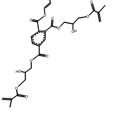 C=C(C)C(=O)OCC(O)COC(=O)c1ccc(C(=O)OC=CC)c(C(=O)OCC(O)COC(=O)C(=C)C)c1